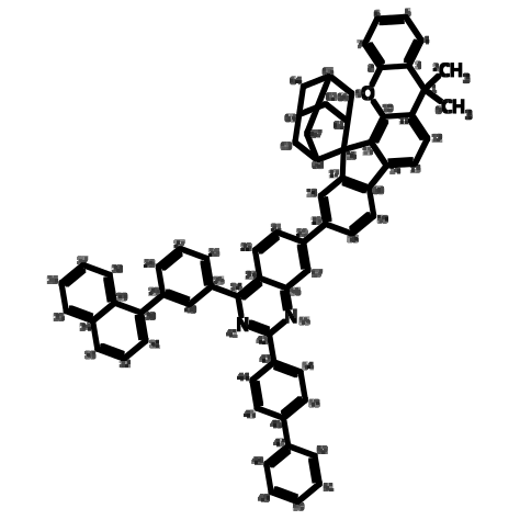 CC1(C)c2ccccc2Oc2c1ccc1c2C2(c3cc(-c4ccc5c(-c6cccc(-c7cccc8ccccc78)c6)nc(-c6ccc(-c7ccccc7)cc6)nc5c4)ccc3-1)C1CC3CC(C1)CC2C3